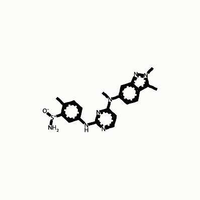 Cc1ccc(Nc2nccc(N(C)c3ccc4c(C)n(C)nc4c3)n2)cc1[S+](N)[O-]